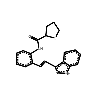 O=C(Nc1ccccc1C=Cc1n[nH]c2ccccc12)C1CCCO1